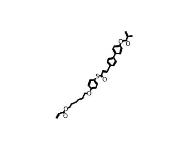 C=CC(=O)OCCCCCCOc1ccc(SC(=O)/C=C/c2ccc(-c3ccc(OC(=O)C(=C)C)cc3)cc2)cc1